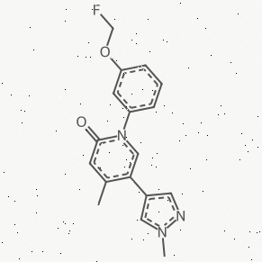 Cc1cc(=O)n(-c2cccc(OCF)c2)cc1-c1cnn(C)c1